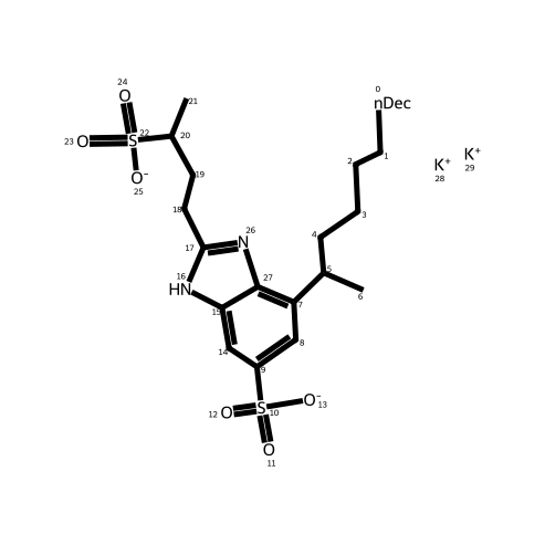 CCCCCCCCCCCCCCC(C)c1cc(S(=O)(=O)[O-])cc2[nH]c(CCC(C)S(=O)(=O)[O-])nc12.[K+].[K+]